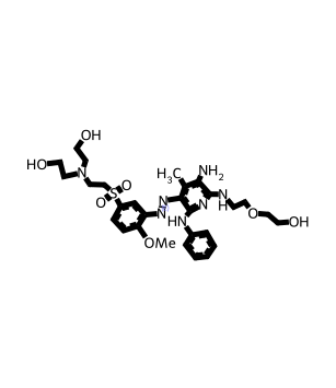 COc1ccc(S(=O)(=O)CCN(CCO)CCO)cc1/N=N/c1c(Nc2ccccc2)nc(NCCOCCO)c(N)c1C